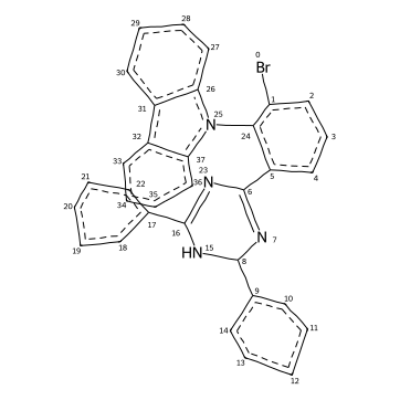 Brc1cccc(C2=NC(c3ccccc3)NC(c3ccccc3)=N2)c1-n1c2ccccc2c2ccccc21